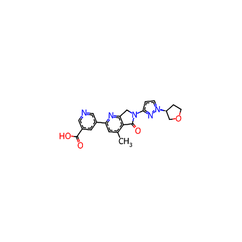 Cc1cc(-c2cncc(C(=O)O)c2)nc2c1C(=O)N(c1ccn([C@H]3CCOC3)n1)C2